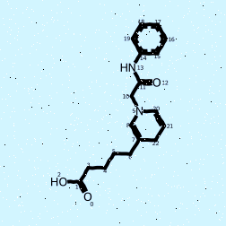 O=C(O)CCCCC1=CN(CC(=O)Nc2ccccc2)C=CC1